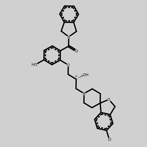 O=C(c1ccc(O)cc1OC[C@H](O)CN1CCC2(CC1)OCc1cc(Cl)ccc12)N1Cc2ccccc2C1